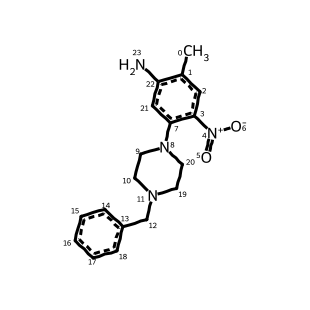 Cc1cc([N+](=O)[O-])c(N2CCN(Cc3ccccc3)CC2)cc1N